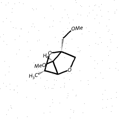 COC[C@@]12COC([C@H](C)O1)[C@H]2OC